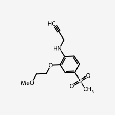 C#CCNc1ccc(S(C)(=O)=O)cc1OCCOC